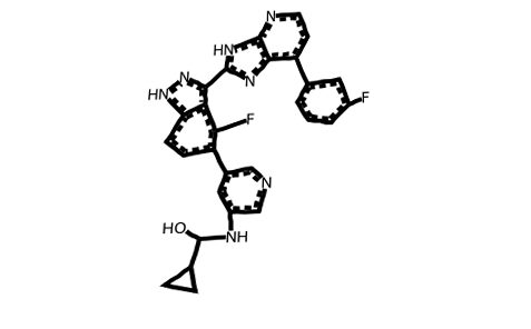 OC(Nc1cncc(-c2ccc3[nH]nc(-c4nc5c(-c6cccc(F)c6)ccnc5[nH]4)c3c2F)c1)C1CC1